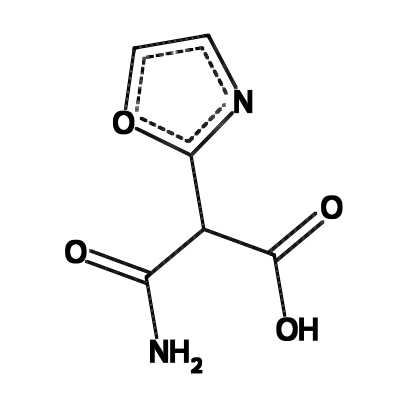 NC(=O)C(C(=O)O)c1ncco1